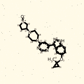 CC1(Oc2ccc3[nH]nc(-c4cc(N5CCN(C6CC[S+]([O-])C6)CC5)ncn4)c3c2)CC1